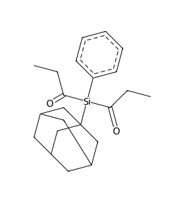 CCC(=O)[Si](C(=O)CC)(c1ccccc1)C12CC3CC(CC(C3)C1)C2